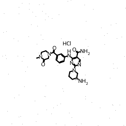 CN1CCN(C(=O)c2cccc(Nc3nc(N4CCC[C@H](N)C4)ncc3C(N)=O)c2)CC1=O.Cl